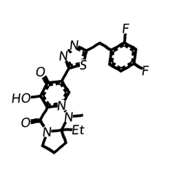 CCC12CCCN1C(=O)c1c(O)c(=O)c(-c3nnc(Cc4ccc(F)cc4F)s3)cn1N2C